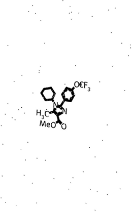 COC(=O)c1nc(-c2ccc(OC(F)(F)F)cc2)n(C2CCCCC2)c1C